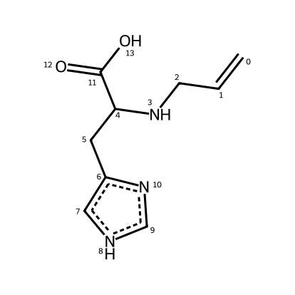 C=CCNC(Cc1c[nH]cn1)C(=O)O